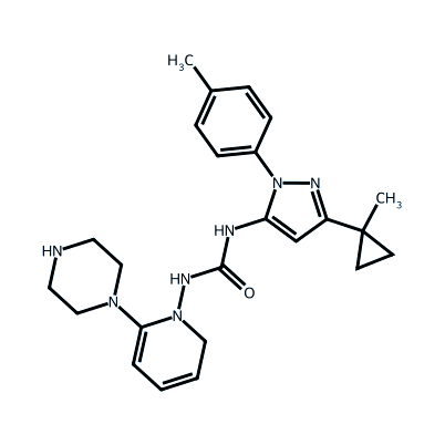 Cc1ccc(-n2nc(C3(C)CC3)cc2NC(=O)NN2CC=CC=C2N2CCNCC2)cc1